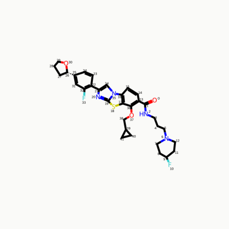 O=C(NCCCN1CCC(F)CC1)c1ccc2c(sc3nc(-c4ccc([C@@H]5CCCO5)cc4F)cn32)c1OCC1CC1